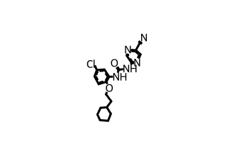 N#Cc1cnc(NC(=O)Nc2cc(Cl)ccc2OCCC2CCCCC2)cn1